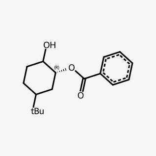 CC(C)(C)C1CCC(O)[C@H](OC(=O)c2ccccc2)C1